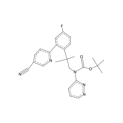 CC(C)(C)OC(=O)N(CC(C)(C)c1ccc(F)cc1-c1ccc(C#N)cn1)c1cccnn1